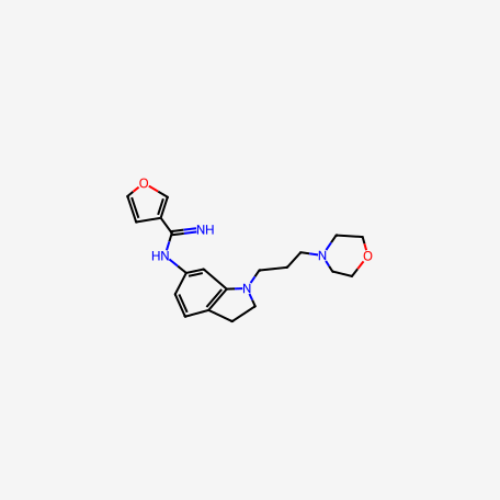 N=C(Nc1ccc2c(c1)N(CCCN1CCOCC1)CC2)c1ccoc1